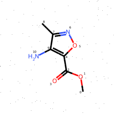 COC(=O)c1onc(C)c1N